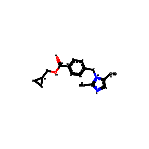 CCCCc1ncc(C=O)n1Cc1ccc(C(=O)OCC2CC2)cc1